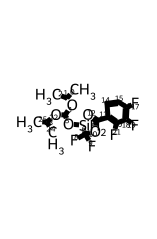 CC(C)OC(O[SiH2]C(F)(F)OC(=O)c1ccc(F)c(F)c1F)OC(C)C